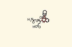 NC(=O)CO/N=C(\CCC(=O)O)c1nc2ccccc2n(C2CC3CCCC(C2)N3C2CC3CCCC(C3)C2)c1=O